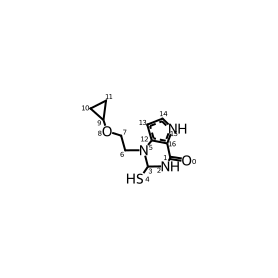 O=C1NC(S)N(CCOC2CC2)c2cc[nH]c21